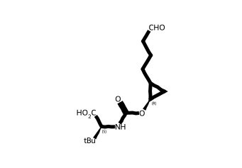 CC(C)(C)[C@H](NC(=O)O[C@@H]1CC1CCCC=O)C(=O)O